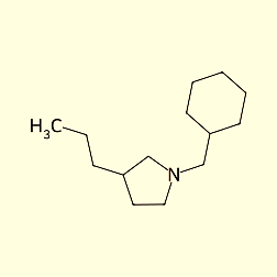 CCCC1CCN(CC2CCCCC2)C1